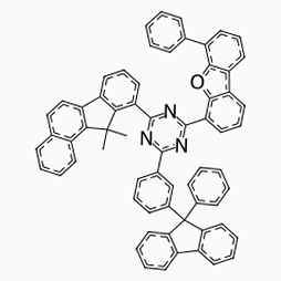 CC1(C)c2c(-c3nc(-c4cccc(C5(c6ccccc6)c6ccccc6-c6ccccc65)c4)nc(-c4cccc5c4oc4c(-c6ccccc6)cccc45)n3)cccc2-c2ccc3ccccc3c21